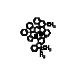 Bc1c2cc3c(c1N1C4=C(C=CC4)C(c4ccccc4)(c4ccccc4)c4cccc(c41)C1=C(c4cc5ccccc5cc4C)CCC=C12)-c1ccccc1C3(C)C